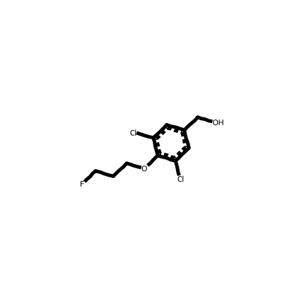 OCc1cc(Cl)c(OCCCF)c(Cl)c1